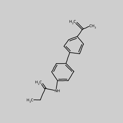 C=C(CC)Nc1ccc(-c2ccc(C(=C)C)cc2)cc1